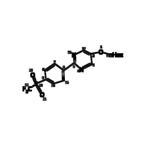 CCCCCCOc1cnc(-c2ccc(S(=O)(=O)C(F)(F)F)cc2)nc1